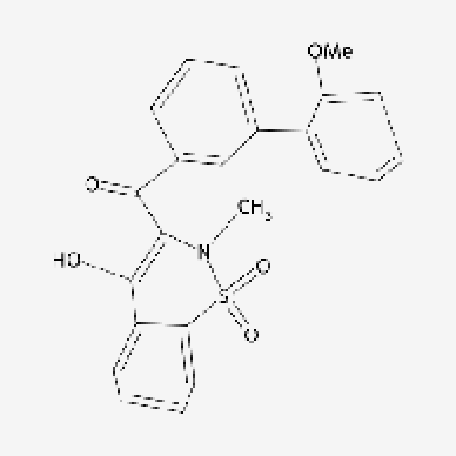 COc1ccccc1-c1cccc(C(=O)C2=C(O)c3ccccc3S(=O)(=O)N2C)c1